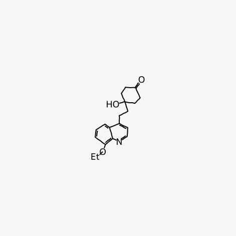 CCOc1cccc2c(CCC3(O)CCC(=O)CC3)ccnc12